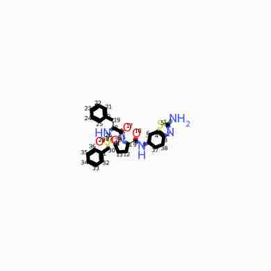 Nc1nc2c(s1)CC(NC(=O)[C@@H]1CCCN1C(=O)[C@@H](Cc1ccccc1)NS(=O)(=O)Cc1ccccc1)CC2